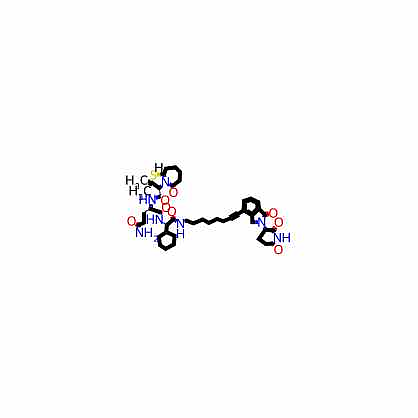 CC1(C)S[C@@H]2CCCCC(=O)N2[C@@H]1C(=O)N[C@@H](CCC(N)=O)C(=O)N[C@H](C(=O)NCCCCCCC#Cc1cccc2c1CN(C1CCC(=O)NC1=O)C2=O)C1CCCCC1